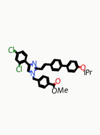 COC(=O)c1ccc(Cn2cc(-c3ccc(Cl)cc3Cl)nc2C=Cc2ccc(-c3ccc(OC(C)C)cc3)cc2)cc1